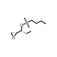 CCCC[Si](C)(C)O[C@H](CC)[C@H]1CO1